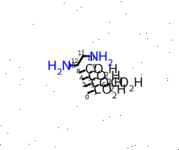 CC(=O)O.CC(=O)O.CC(=O)O.CC(=O)O.CC(=O)O.NCCN